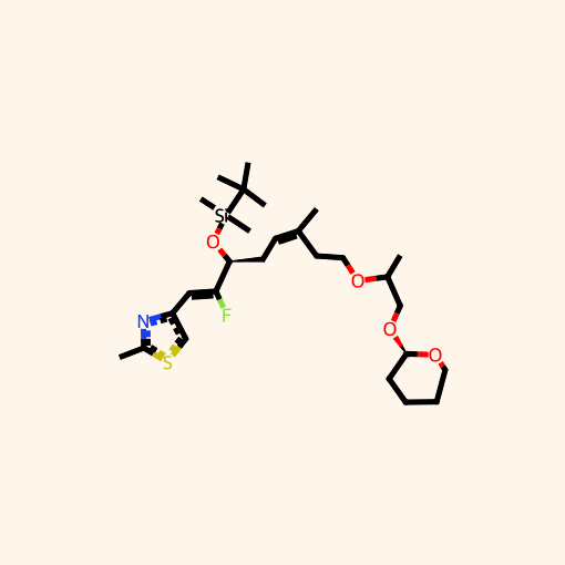 C/C(=C/C[C@H](O[Si](C)(C)C(C)(C)C)/C(F)=C/c1csc(C)n1)CCOC(C)CO[C@@H]1CCCCO1